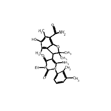 CCn1c(=O)c(C2c3c(C)c(O)c(C)c(C(N)=O)c3OC2(C)C)c(N)n(-c2cccc(C)c2C)c1=O